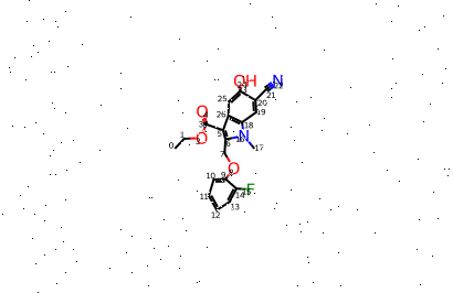 CCOC(=O)c1c(COc2ccccc2F)n(C)c2cc(C#N)c(O)cc12